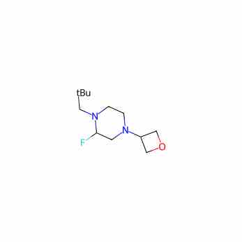 CC(C)(C)CN1CCN(C2COC2)CC1F